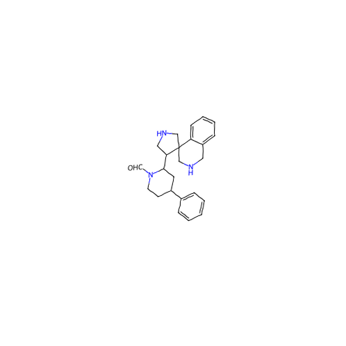 O=CN1CCC(c2ccccc2)CC1C1CNCC12CNCc1ccccc12